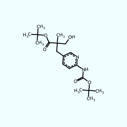 CC(C)(C)OC(=O)Nc1ccc(CC(C)(CO)C(=O)OC(C)(C)C)cn1